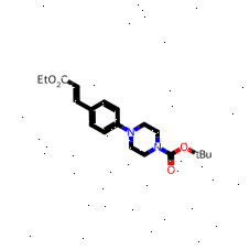 CCOC(=O)C=Cc1ccc(N2CCN(C(=O)OC(C)(C)C)CC2)cc1